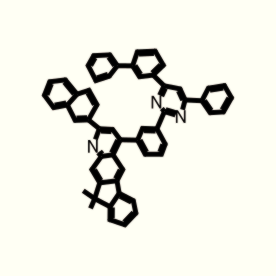 CC1(C)c2ccccc2-c2cc3c(-c4cccc(-c5nc(-c6ccccc6)cc(-c6cccc(-c7ccccc7)c6)n5)c4)cc(-c4ccc5ccccc5c4)nc3cc21